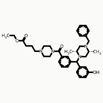 CCOC(=O)CCCN1CCN(C(=O)c2cccc(C(c3cccc(O)c3)N3C[C@@H](C)N(Cc4ccccc4)C[C@H]3C)c2)CC1